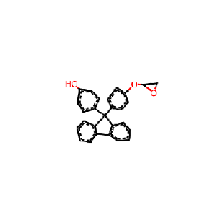 Oc1ccc(C2(c3ccc(OC4CO4)cc3)c3ccccc3-c3ccccc32)cc1